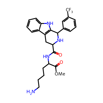 COC(=O)C(CCCCN)NC(=O)C1Cc2c([nH]c3ccccc23)C(c2cccc(C(F)(F)F)c2)N1